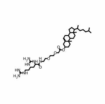 CC(C)CCCC(C)C1CCC2C3CC=C4CC(OC(=O)COCCOCCNC(=O)C(CCCCNC(=N)N)NC(=N)N)CCC4(C)C3CCC12C